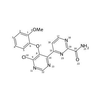 COc1ccccc1Oc1c(Cl)ncnc1-c1ccnc(C(N)=O)n1